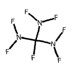 FN(F)C(F)(N(F)F)N(F)F